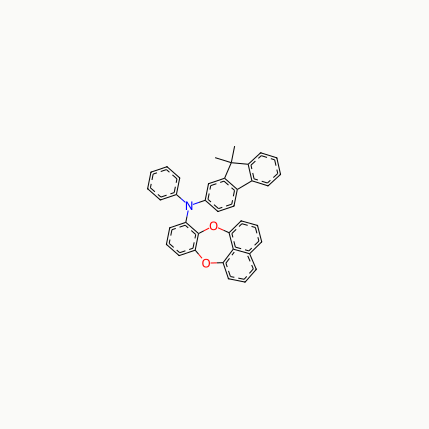 CC1(C)c2ccccc2-c2ccc(N(c3ccccc3)c3cccc4c3Oc3cccc5cccc(c35)O4)cc21